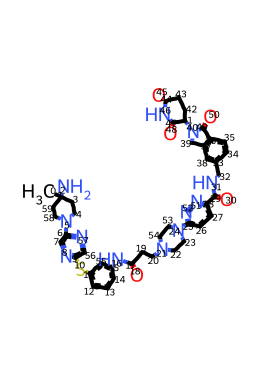 CC1(N)CCN(c2cnc(Sc3cccc(NC(=O)CCN4CCN(c5ccc(C(=O)NCc6ccc7c(c6)CN(C6CCC(=O)NC6=O)C7=O)nn5)CC4)c3)cn2)CC1